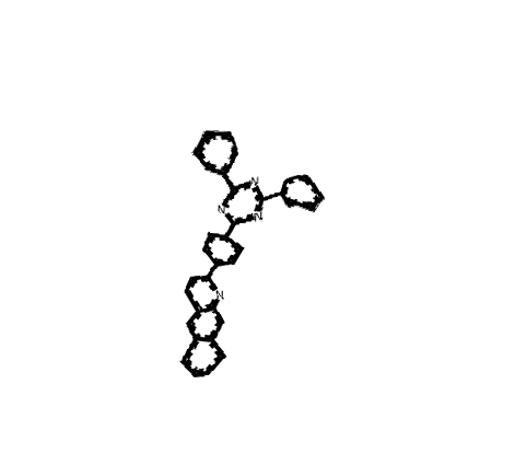 c1ccc(-c2nc(-c3ccccc3)nc(-c3ccc(-c4ccc5cc6ccccc6cc5n4)cc3)n2)cc1